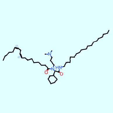 CCCCC/C=C\C/C=C\CCCCCCCC(=O)N(CCCN(C)C)C(C(=O)NCCCCCCCCCCCCCCCCCC)C1CCCCC1